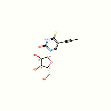 CC#Cc1cn([C@@H]2O[C@H](CO)[C@@H](O)[C@H]2O)c(=O)[nH]c1=S